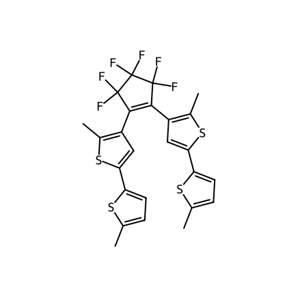 Cc1ccc(-c2cc(C3=C(c4cc(-c5ccc(C)s5)sc4C)C(F)(F)C(F)(F)C3(F)F)c(C)s2)s1